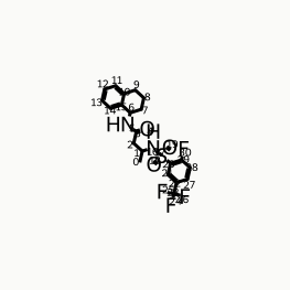 CC(CC(=O)NC1CCCc2ccccc21)NS(=O)(=O)c1cc(C(F)(F)F)ccc1F